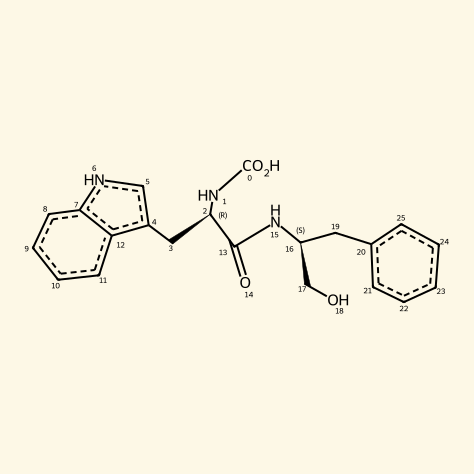 O=C(O)N[C@H](Cc1c[nH]c2ccccc12)C(=O)N[C@H](CO)Cc1ccccc1